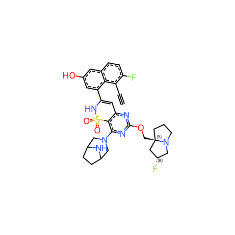 C#Cc1c(F)ccc2cc(O)cc(C3=Cc4nc(OC[C@@]56CCCN5C[C@H](F)C6)nc(N5CC6CCC(C5)N6)c4S(=O)(=O)N3)c12